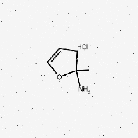 CC1(N)CC=CO1.Cl